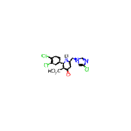 CCn1c(Cn2cnc(Cl)c2)cc(=O)c(C(=O)O)c1-c1ccc(Cl)c(Cl)c1